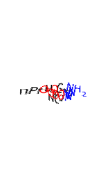 C=C/C=C1/C(N)=NC=NN1[C@H]1CC[C@@](C#N)(COC(=O)OCCOCCC)O1